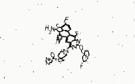 N#Cc1c(N)sc2c(F)ccc(-c3c(Cl)cc4c(N5CCC6(CCN6C(=O)n6cncn6)C5)nc(OC[C@@]56CCCN5C[C@H](F)C6)nc4c3F)c12